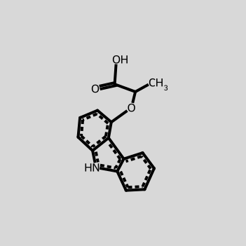 CC(Oc1cccc2[nH]c3ccccc3c12)C(=O)O